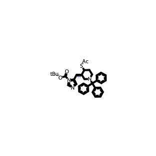 CC(=O)SC1CCN(C(c2ccccc2)(c2ccccc2)c2ccccc2)C/C1=C\c1cncn1C(=O)OC(C)(C)C